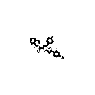 Cc1ccc(-c2cc(C(=O)N3CCc4ccccc4[C@H]3C)nc3cc(-c4ccc(Br)cc4F)nn23)cc1